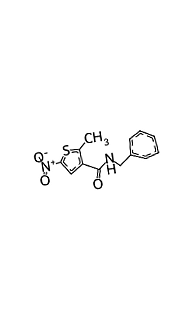 Cc1sc([N+](=O)[O-])cc1C(=O)NCc1ccccc1